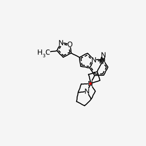 Cc1cc(-c2cc3c(N4CC5CCC(C4)N5C4CC(C#N)C4)ccnn3c2)on1